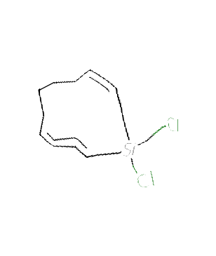 Cl[Si]1(Cl)C=CCC=C1